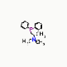 C[C@@H](CP(c1ccccc1)c1ccccc1)N(C)C